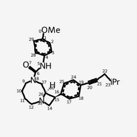 COc1ccc(NC(=O)N2CCCCN3C[C@H](c4ccc(C#CCC(C)C)cc4)[C@@H]3C2)cc1